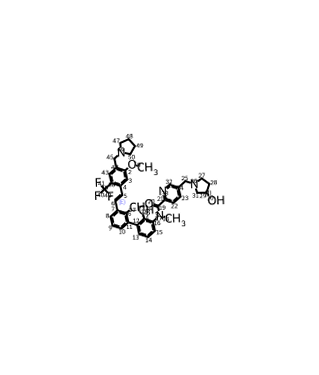 COc1cc(/C=C/c2cccc(-c3cccc(N(C)C(=O)c4ccc(CN5CC[C@@H](O)C5)cn4)c3C)c2C)c(C(F)(F)F)cc1CN1CCCC1